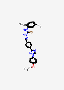 COc1ccc(C)cc1NC(=S)N/N=C/c1ccc(-c2ncn(-c3ccc(OC(F)(F)F)cc3)n2)cc1